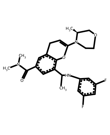 CC(Nc1cc(F)cc(F)c1)c1cc(C(=O)N(C)C)cc2c1OC(N1CCOC[C@@H]1C)=CC2